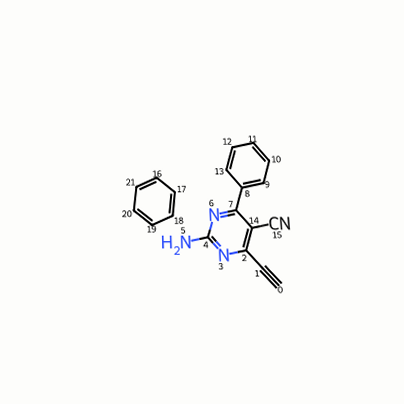 C#Cc1nc(N)nc(-c2ccccc2)c1C#N.c1ccccc1